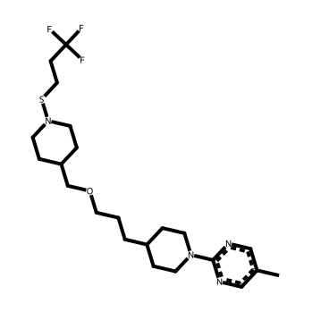 Cc1cnc(N2CCC(CCCOCC3CCN(SCCC(F)(F)F)CC3)CC2)nc1